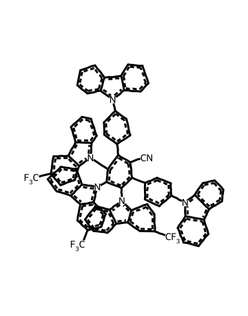 N#Cc1c(-c2ccc(-n3c4ccccc4c4ccccc43)cc2)c(-n2c3ccccc3c3cc(C(F)(F)F)ccc32)c(-n2c3ccccc3c3cc(C(F)(F)F)ccc32)c(-n2c3ccccc3c3cc(C(F)(F)F)ccc32)c1-c1ccc(-n2c3ccccc3c3ccccc32)cc1